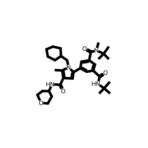 Cc1c(C(=O)NC2CCOCC2)cc(-c2cc(C(=O)NC(C)(C)C)cc(C(=O)N(C)C(C)(C)C)c2)n1CC1CCCCC1